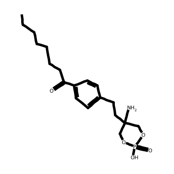 CCCCCCCC(=O)c1ccc(CCC2(N)COP(=O)(O)OC2)cc1